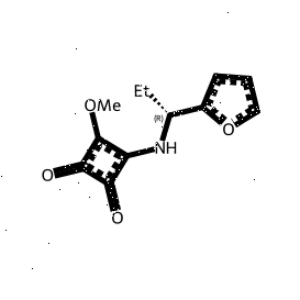 CC[C@@H](Nc1c(OC)c(=O)c1=O)c1ccco1